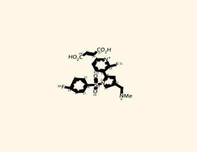 CNCc1cc(-c2cccnc2F)n(S(=O)(=O)c2ccc(F)cc2)c1.O=C(O)/C=C/C(=O)O